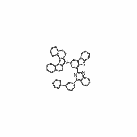 c1ccc(-c2cccc(-c3nc(-c4cc(-n5c6ccc7ccccc7c6c6c7ccccc7ccc65)cc5c4sc4ccccc45)nc4ccccc34)c2)cc1